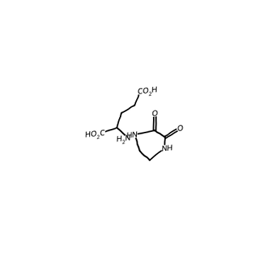 NC(CCC(=O)O)C(=O)O.O=C1NCCNC1=O